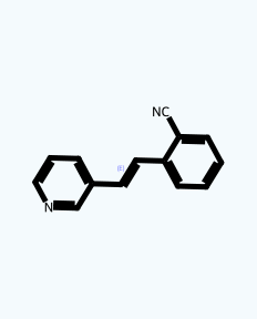 N#Cc1ccccc1/C=C/c1cccnc1